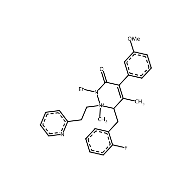 CCN1C(=O)C(c2cccc(OC)c2)=C(C)C(Cc2ccccc2F)[N+]1(C)CCc1ccccn1